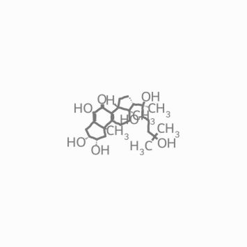 CC(C)(O)CC[C@@H](O)[C@](C)(O)[C@H]1CC[C@H]2C3=C(CC[C@]12C)[C@@]1(C)C[C@H](O)[C@H](O)CC1=C(O)C3=O